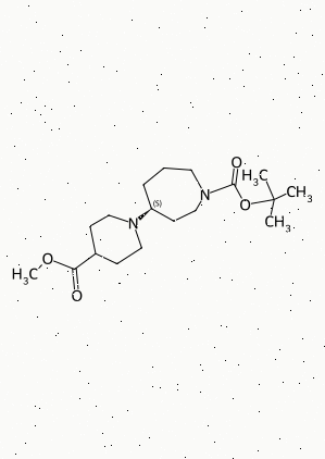 COC(=O)C1CCN([C@H]2CCCN(C(=O)OC(C)(C)C)CC2)CC1